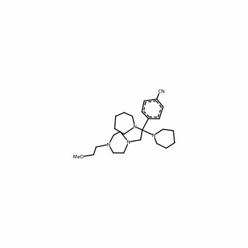 COCCN1CCN(CC(c2ccc(C#N)cc2)(N2CCCCC2)N2CCCCC2)CC1